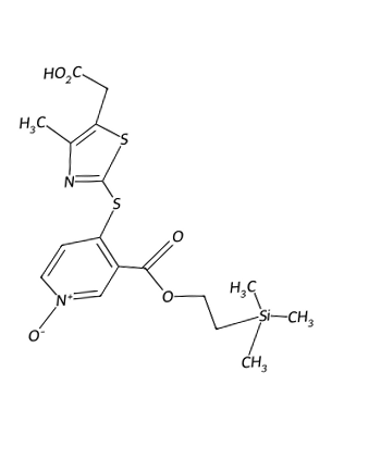 Cc1nc(Sc2cc[n+]([O-])cc2C(=O)OCC[Si](C)(C)C)sc1CC(=O)O